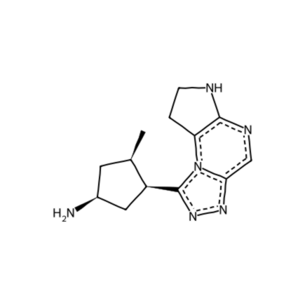 C[C@@H]1C[C@H](N)C[C@@H]1c1nnc2cnc3c(n12)CCN3